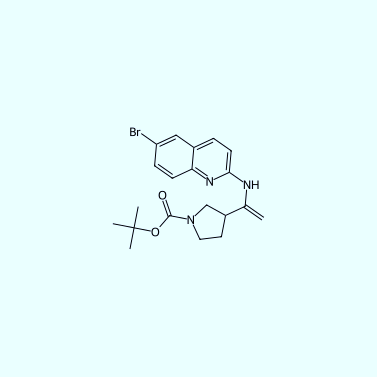 C=C(Nc1ccc2cc(Br)ccc2n1)C1CCN(C(=O)OC(C)(C)C)C1